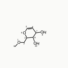 COCC1OC=CC(O)C1O